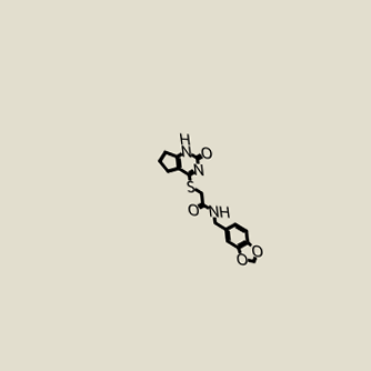 O=C(CSc1nc(=O)[nH]c2c1CCC2)NCc1ccc2c(c1)OCO2